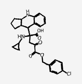 O=C(CC(NC1CC1)(C(=O)O)C1c2ccccc2NC2CCCC21)C(=O)OCc1ccc(Cl)cc1